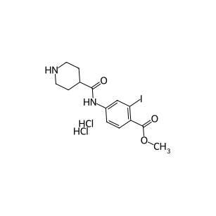 COC(=O)c1ccc(NC(=O)C2CCNCC2)cc1I.Cl.Cl